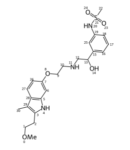 COCCc1[nH]c2cc(OCCNCC(O)c3cccc(NS(C)(=O)=O)c3)ccc2c1C